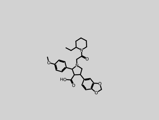 CCC1CCCCN1C(=O)CN1CC(c2ccc3c(c2)OCO3)C(C(=O)O)C1c1ccc(OC)cc1